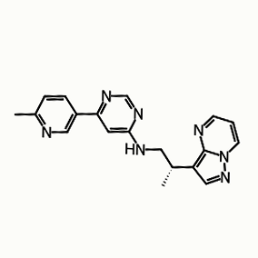 Cc1ccc(-c2cc(NC[C@@H](C)c3cnn4cccnc34)ncn2)cn1